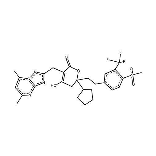 Cc1cc(C)n2nc(CC3=C(O)CC(CCc4ccc(S(C)(=O)=O)c(C(F)(F)F)c4)(C4CCCC4)OC3=O)nc2n1